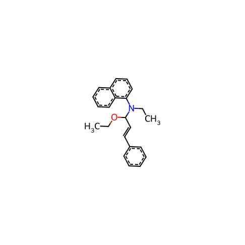 CCOC(C=Cc1ccccc1)N(CC)c1cccc2ccccc12